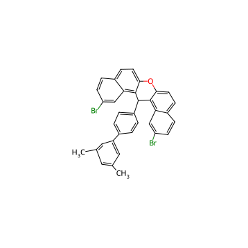 Cc1cc(C)cc(-c2ccc(C3c4c(ccc5ccc(Br)cc45)Oc4ccc5ccc(Br)cc5c43)cc2)c1